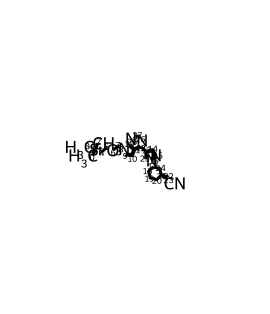 C[Si](C)(C)CCOCn1ccc2c(-c3cnn(C4CCCC(=CC#N)C4)c3)ncnc21